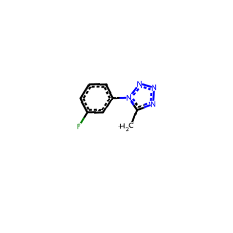 [CH2]c1nnnn1-c1cccc(F)c1